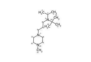 CC(C)N(CCCN1CCN(C)CC1)C(C)(C)C